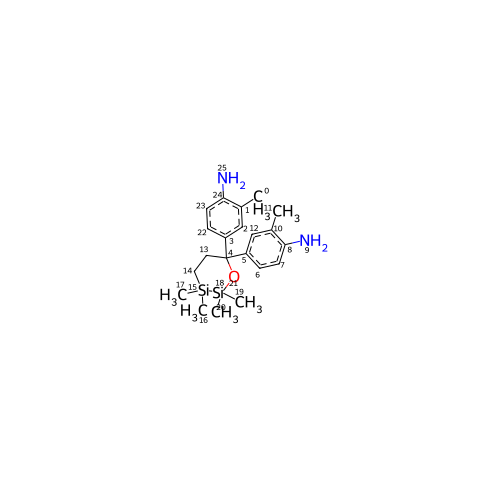 Cc1cc(C2(c3ccc(N)c(C)c3)CC[Si](C)(C)[Si](C)(C)O2)ccc1N